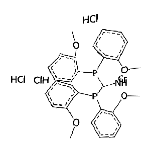 COc1ccccc1P(c1ccccc1OC)C([NH][Cr])P(c1ccccc1OC)c1ccccc1OC.Cl.Cl.Cl